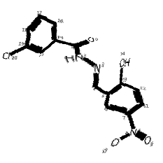 O=C(NN=Cc1cc([N+](=O)[O-])ccc1O)c1cccc(Cl)c1